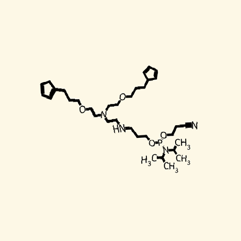 CC(C)N(C(C)C)P(OCCC#N)OCCCNCCN(CCOCCCC1=CC=CC1)CCOCCCC1C=CC=C1